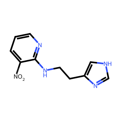 O=[N+]([O-])c1cccnc1NCCc1c[nH]cn1